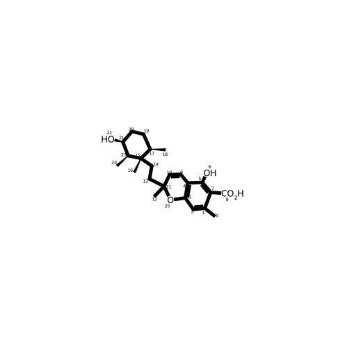 Cc1cc2c(c(O)c1C(=O)O)C=CC(C)(CC[C@@]1(C)[C@H](C)CC[C@H](O)[C@@H]1C)O2